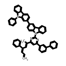 C=C/C=C(\C=C(/C)c1cc(-c2cccc(-c3ccccc3)c2)nc(-n2c3ccccc3c3cc(-c4ccc5c6ccccc6n(-c6ccccc6)c5c4)ccc32)n1)c1ccccc1